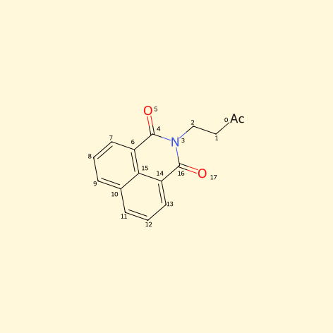 CC(=O)CCN1C(=O)c2cccc3cccc(c23)C1=O